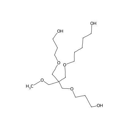 COCC(COCCCO)(COCCCO)COCCCCCO